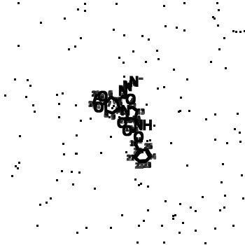 [N-]=[N+]=NC(=O)[C@@H]1CC2(CC[C@@H]1N1CC[C@H](NC(=O)OCc3ccccc3)C1=O)OCCO2